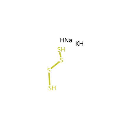 SSSS.[KH].[NaH]